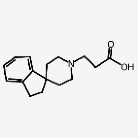 O=C(O)CCN1CCC2(CCc3ccccc32)CC1